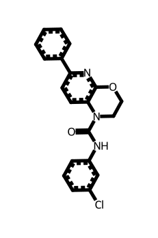 O=C(Nc1cccc(Cl)c1)N1CCOc2nc(-c3ccccc3)ccc21